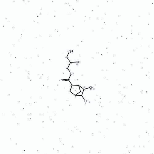 CC1C2CC(C(=O)OCC(O)CO)C(C2)C1C